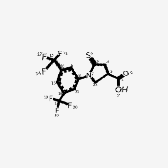 O=C(O)C1CC(=S)N(c2cc(C(F)(F)F)cc(C(F)(F)F)c2)C1